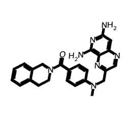 CN(Cc1cnc2cc(N)nc(N)c2n1)c1ccc(C(=O)N2CCc3ccccc3C2)cc1